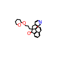 O=C1c2cccc3cccc(c23)C1(CCCOC1CCCCO1)Cc1ccncc1